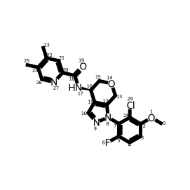 COc1ccc(F)c(-n2ncc3c2COC[C@@H]3NC(=O)c2cc(C)c(C)cn2)c1Cl